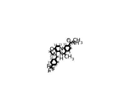 CNC(=O)c1ccc([C@H](C)Nc2nccc3c2N(Cc2ccc(C(F)(F)F)cc2)CCO3)cc1